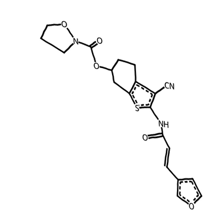 N#Cc1c(NC(=O)C=Cc2ccoc2)sc2c1CCC(OC(=O)N1CCCO1)C2